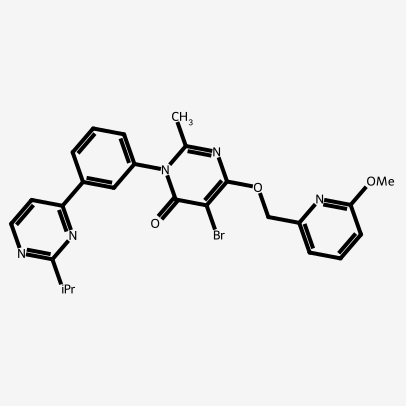 COc1cccc(COc2nc(C)n(-c3cccc(-c4ccnc(C(C)C)n4)c3)c(=O)c2Br)n1